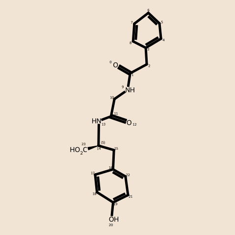 O=C(Cc1ccccc1)NCC(=O)N[C@@H](Cc1ccc(O)cc1)C(=O)O